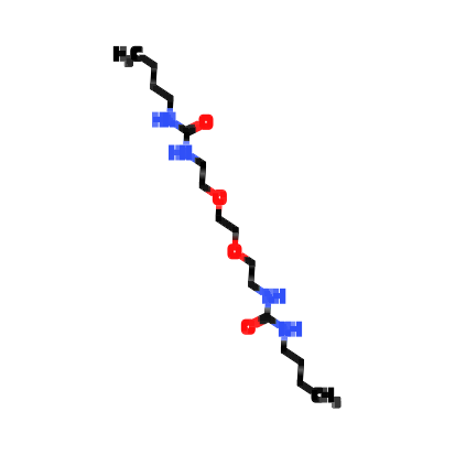 CCCCNC(=O)NCCOCCOCCNC(=O)NCCCC